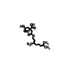 CC(C)=CCCC(C)=CCOC(=O)CC(O)(CC(=O)O)C(=O)O